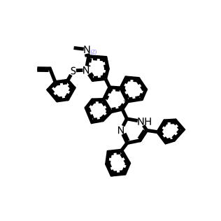 C=Cc1ccccc1Sn1cc(-c2c3ccccc3c(C3N=C(c4ccccc4)C=C(c4ccccc4)N3)c3ccccc23)cc/c1=N/C